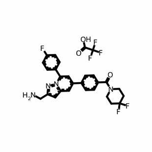 NCc1cc2cc(-c3ccc(C(=O)N4CCC(F)(F)CC4)cc3)cc(-c3ccc(F)cc3)n2n1.O=C(O)C(F)(F)F